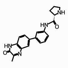 Cc1nc2cc(-c3cccc(NC(=O)[C@@H]4CCCN4)c3)ccc2[nH]c1=O